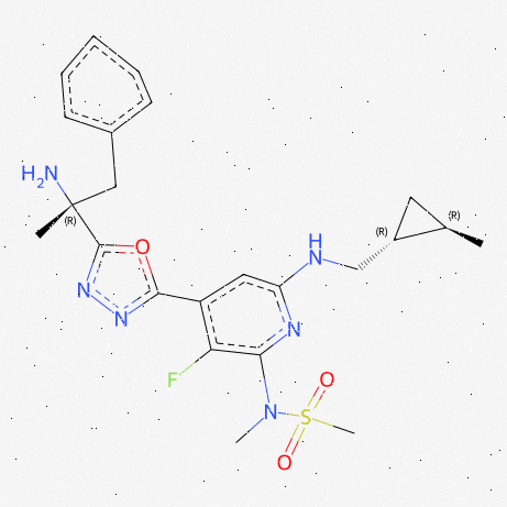 C[C@@H]1C[C@H]1CNc1cc(-c2nnc([C@](C)(N)Cc3ccccc3)o2)c(F)c(N(C)S(C)(=O)=O)n1